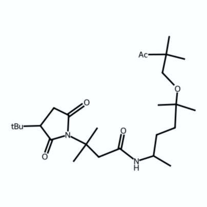 CC(=O)C(C)(C)COC(C)(C)CCC(C)NC(=O)CC(C)(C)N1C(=O)CC(C(C)(C)C)C1=O